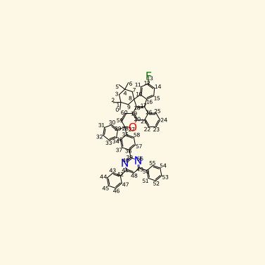 CC1(C)CC(C)(C)CC2(C1)c1cc(F)ccc1-c1c2c2c(c3ccccc13)OC(c1ccccc1)(c1ccc(-c3nc(-c4ccccc4)cc(-c4ccccc4)n3)cc1)C=C2